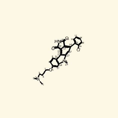 CN(C)CCCOc1ccc2c3c4c(c(-c5ccccc5Cl)cc3n(C)c2c1)C(=O)NC4=O